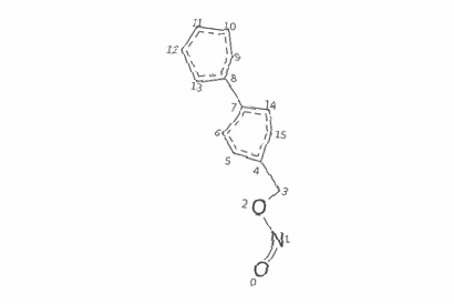 O=NOCc1ccc(-c2ccccc2)cc1